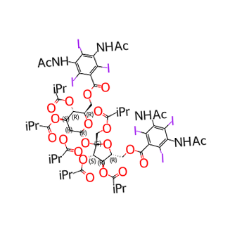 CC(=O)Nc1c(I)c(NC(C)=O)c(I)c(C(=O)OC[C@H]2O[C@@](COC(=O)C(C)C)(O[C@H]3O[C@H](COC(=O)c4c(I)c(NC(C)=O)c(I)c(NC(C)=O)c4I)[C@@H](OC(=O)C(C)C)[C@H](OC(=O)C(C)C)[C@H]3OC(=O)C(C)C)[C@@H](OC(=O)C(C)C)[C@@H]2OC(=O)C(C)C)c1I